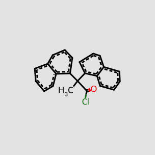 CC(C(=O)Cl)(c1cccc2ccccc12)c1cccc2ccccc12